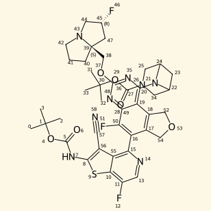 CC(C)(C)OC(=O)Nc1sc2c(F)cnc(-c3c4c(c5c(N6C7CC6CN(C(=O)OC(C)(C)C)C7)nc(OC[C@@]67CCCN6C[C@H](F)C7)nc5c3F)COC4)c2c1C#N